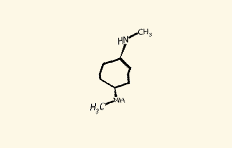 CN[C@H]1CC[C@@H](NC)CC1